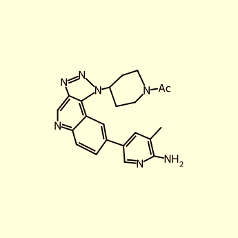 CC(=O)N1CCC(n2nnc3cnc4ccc(-c5cnc(N)c(C)c5)cc4c32)CC1